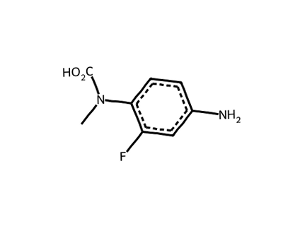 CN(C(=O)O)c1ccc(N)cc1F